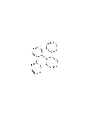 c1ccc(-c2ccccc2-c2ccccc2)cc1.c1ccccc1